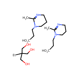 CC1=NCCCN1CCC(=O)O.CC1=NCCCN1CCC(=O)O.CCC(CO)(CO)CO